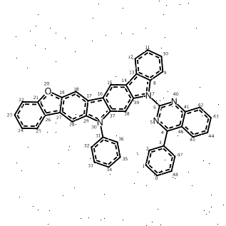 c1ccc(-c2nc(-n3c4ccccc4c4cc5c6cc7oc8ccccc8c7cc6n(-c6ccccc6)c5cc43)nc3ccccc23)cc1